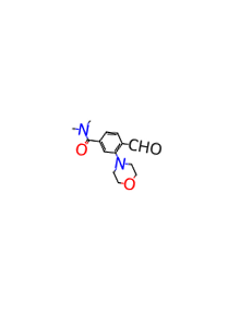 CN(C)C(=O)c1ccc(C=O)c(N2CCOCC2)c1